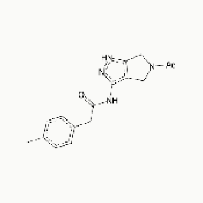 CC(=O)N1Cc2[nH]nc(NC(=O)Cc3ccc(C)cc3)c2C1